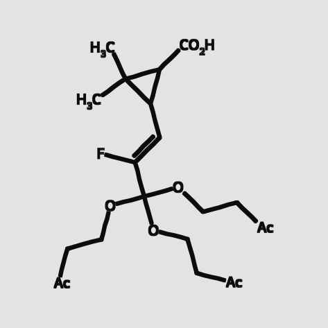 CC(=O)CCOC(OCCC(C)=O)(OCCC(C)=O)C(F)=CC1C(C(=O)O)C1(C)C